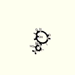 C/C1=C(/O)[C@@H](C)C(=O)NCCC(=O)N(C)C[C@H](C)CC(C)(O)[C@@H]1O[C@@H]1O[C@H](C)C[C@H](N(C)C)[C@H]1O